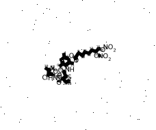 Cc1cc(C)c(OC(=O)CCCCCC(CO[N+](=O)[O-])O[N+](=O)[O-])c(C)c1NC(=O)c1sccc1S(=O)(=O)Nc1onc(C)c1Cl